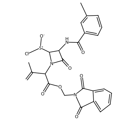 C=C(C)C(C(=O)OCN1C(=O)c2ccccc2C1=O)N1C(=O)C(NC(=O)c2cccc(C)c2)C1[S+]([O-])Cl